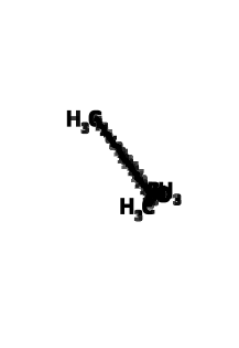 CCCCCCCCCCCCCCCCCCCCCCCC(C)(CCC)CN=O